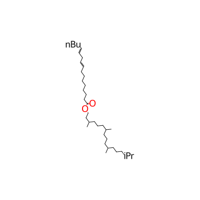 CCCC/C=C/C/C=C/CCCCCCCC(=O)OCCC(C)CCCC(C)CCCC(C)CCCC(C)C